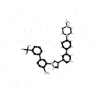 Cc1ccc(-c2cccc(C(F)(F)F)c2)cc1N1CC(c2cncc(-c3ccc(N4CCN(C)CC4)cc3)c2)C=N1